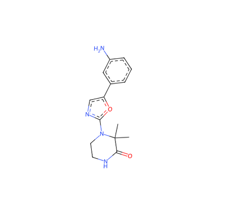 CC1(C)C(=O)NCCN1c1ncc(-c2cccc(N)c2)o1